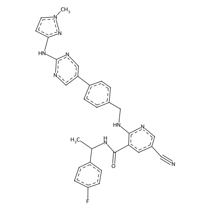 CC(NC(=O)c1cc(C#N)cnc1NCc1ccc(-c2cnc(Nc3ccn(C)n3)nc2)cc1)c1ccc(F)cc1